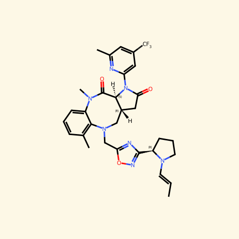 CC=CN1CCC[C@@H]1c1noc(CN2C[C@H]3CC(=O)N(c4cc(C(F)(F)F)cc(C)n4)[C@@H]3C(=O)N(C)c3cccc(C)c32)n1